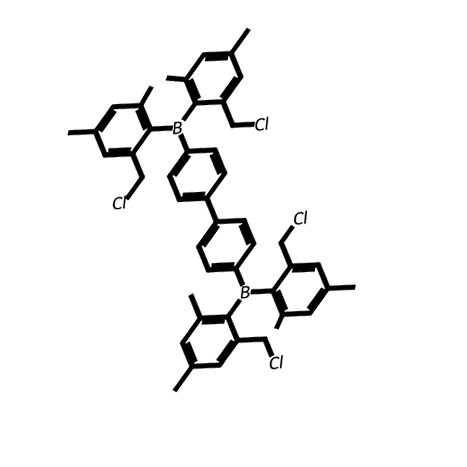 Cc1cc(C)c(B(c2ccc(-c3ccc(B(c4c(C)cc(C)cc4CCl)c4c(C)cc(C)cc4CCl)cc3)cc2)c2c(C)cc(C)cc2CCl)c(CCl)c1